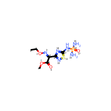 CCO/N=C(\C(=O)OC)c1nsc(NP(N)(N)=O)n1